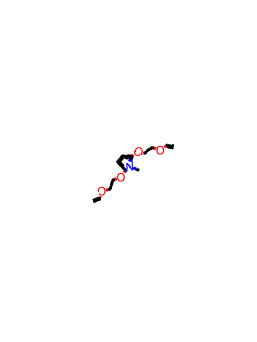 C=COCCOc1ccc(OCCOC=C)n1C